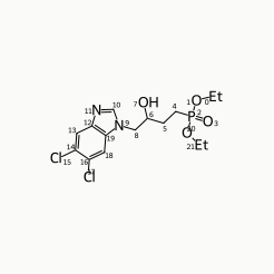 CCOP(=O)(CCC(O)Cn1cnc2cc(Cl)c(Cl)cc21)OCC